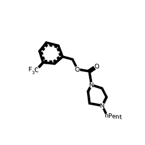 CCCCCN1CCN(C(=O)OCc2cccc(C(F)(F)F)c2)CC1